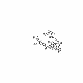 CCOC(=O)[C@H](C)Cc1cccc(C(=O)c2nc(-c3cc(Oc4c(F)c(F)c5[nH]ccc5c4CS(=O)(=O)CCOCCNC(=O)OC(C)(C)C)ccc3F)n(C)n2)c1